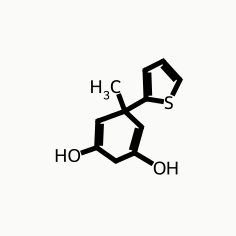 CC1(c2cccs2)C=C(O)CC(O)=C1